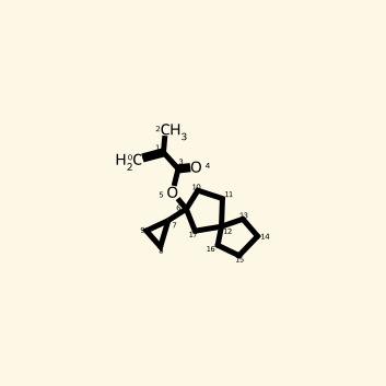 C=C(C)C(=O)OC1(C2CC2)CCC2(CCCC2)C1